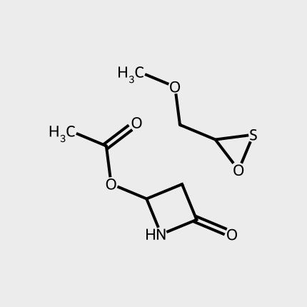 CC(=O)OC1CC(=O)N1.COCC1OS1